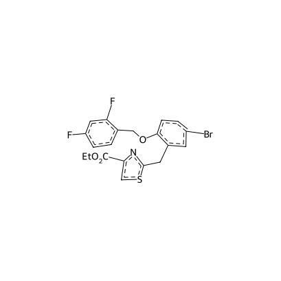 CCOC(=O)c1csc(Cc2cc(Br)ccc2OCc2ccc(F)cc2F)n1